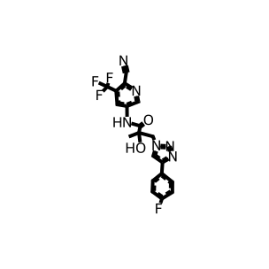 CC(O)(Cn1cc(-c2ccc(F)cc2)nn1)C(=O)Nc1cnc(C#N)c(C(F)(F)F)c1